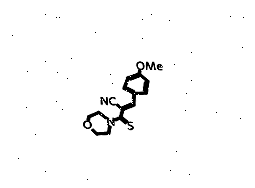 COc1ccc(/C=C(\C#N)C(=S)N2CCOCC2)cc1